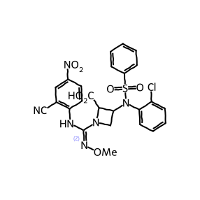 CO/N=C(/Nc1ccc([N+](=O)[O-])cc1C#N)N1CC(N(c2ccccc2Cl)S(=O)(=O)c2ccccc2)C1C(=O)O